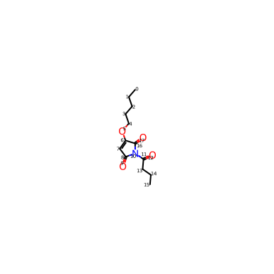 CCCCCOC1=CC(=O)N(C(=O)CCC)C1=O